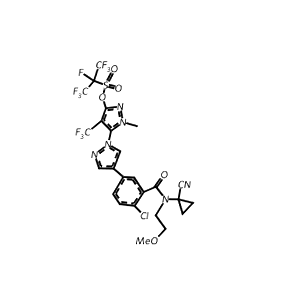 COCCN(C(=O)c1cc(-c2cnn(-c3c(C(F)(F)F)c(OS(=O)(=O)C(F)(C(F)(F)F)C(F)(F)F)nn3C)c2)ccc1Cl)C1(C#N)CC1